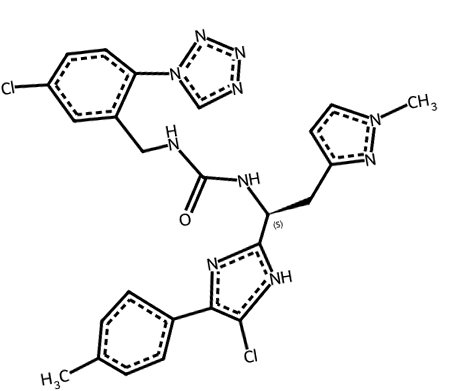 Cc1ccc(-c2nc([C@H](Cc3ccn(C)n3)NC(=O)NCc3cc(Cl)ccc3-n3cnnn3)[nH]c2Cl)cc1